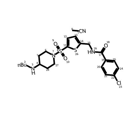 CC#N.CCCCNC1CCN(S(=O)(=O)c2ccc(CNC(=O)c3ccc(Cl)cc3)s2)CC1